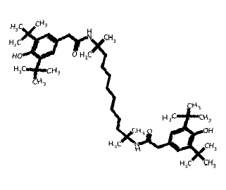 CC(C)(CCCCCCCCC(C)(C)NC(=O)Cc1cc(C(C)(C)C)c(O)c(C(C)(C)C)c1)NC(=O)Cc1cc(C(C)(C)C)c(O)c(C(C)(C)C)c1